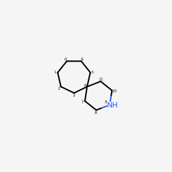 C1CCCC2(CC1)CCNCC2